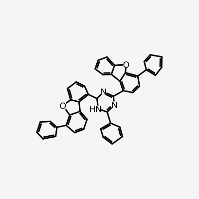 c1ccc(C2=NC(c3ccc(-c4ccccc4)c4oc5ccccc5c34)=NC(c3cccc4oc5c(-c6ccccc6)cccc5c34)N2)cc1